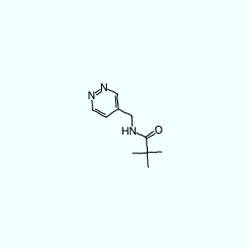 CC(C)(C)C(=O)NCc1ccnnc1